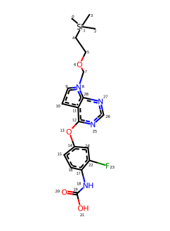 C[Si](C)(C)CCOCn1ccc2c(Oc3ccc(NC(=O)O)c(F)c3)ncnc21